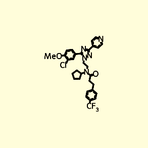 COc1ccc(-c2nc(-c3ccncc3)nn2CCN(C(=O)CCc2ccc(C(F)(F)F)cc2)C2CCCC2)cc1Cl